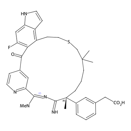 CN/C1=N\C(=N)[C@@](C)(c2cccc(CC(=O)O)c2)CCCC(C)(C)CSCCc2c(c(F)cc3[nH]ccc23)C(=O)c2ccnc1c2